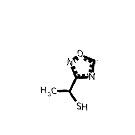 CC(S)c1n[c]on1